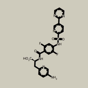 Nc1ccc(C[C@H](NC(=O)c2cc(F)c(NS(=O)(=O)c3ccc(-c4ncccn4)cn3)cc2F)C(=O)O)nc1